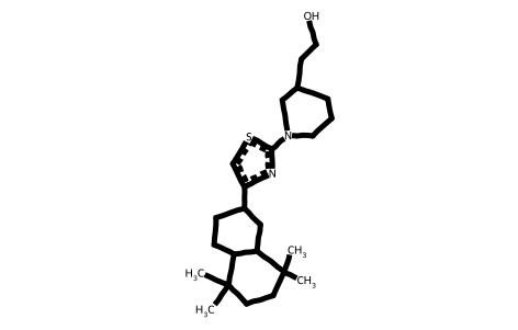 CC1(C)CCC(C)(C)C2CC(c3csc(N4CCCC(CCO)C4)n3)CCC21